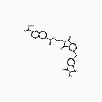 CCCN1C(=O)c2ccc(Cc3ccc4c(c3)C(=O)N(CCOC(=O)c3ccc5cc(C(=O)OC)ccc5c3)C4=O)cc2C1=O